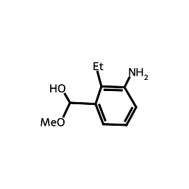 CCc1c(N)cccc1C(O)OC